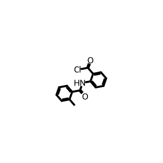 Cc1ccccc1C(=O)Nc1ccccc1C(=O)Cl